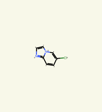 Clc1ccc2nccn2c1